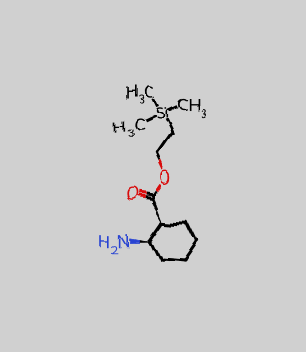 C[Si](C)(C)CCOC(=O)[C@H]1CCCC[C@H]1N